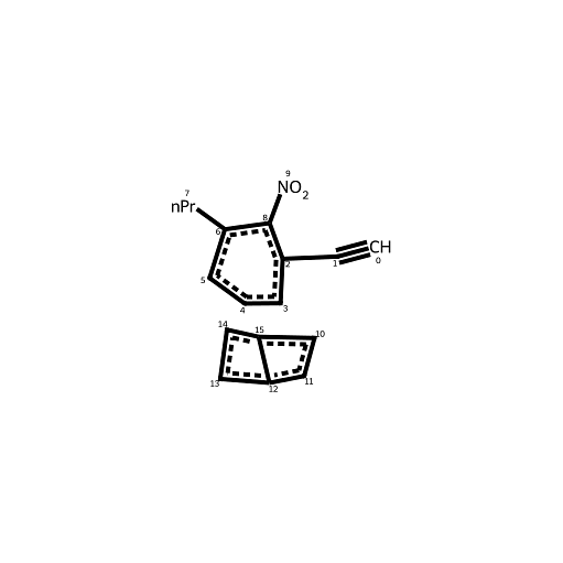 C#Cc1cccc(CCC)c1[N+](=O)[O-].c1cc2ccc1-2